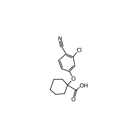 N#Cc1ccc(OC2(C(=O)O)CCCCC2)cc1Cl